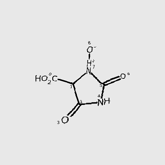 O=C(O)C1C(=O)NC(=O)[NH+]1[O-]